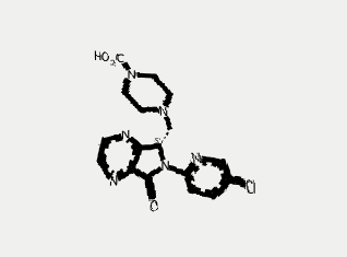 O=C(O)N1CCN(C[C@H]2c3nccnc3C(=O)N2c2ccc(Cl)cn2)CC1